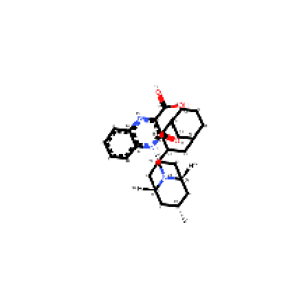 C[C@@H]1C[C@@H]2C[C@H](n3c(=O)c(C(=O)O)nc4ccccc43)C[C@H](C1)N2CC1CC2CCCC(C2)C1